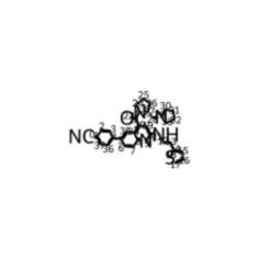 N#Cc1ccc(-c2ccc3nc(NCCc4cccs4)cc(C(=O)N4CCC[C@H]4CN4CCCC4)c3c2)cc1